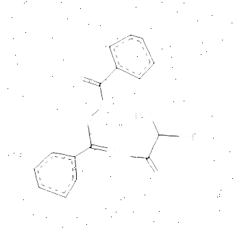 CC(C)C(=O)O.O=C(OOC(=O)c1ccccc1)c1ccccc1